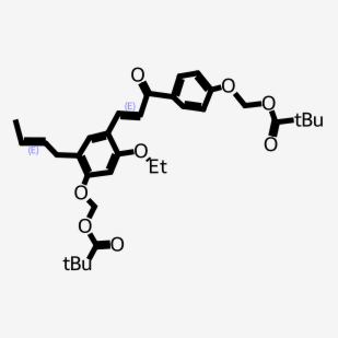 C/C=C/Cc1cc(/C=C/C(=O)c2ccc(OCOC(=O)C(C)(C)C)cc2)c(OCC)cc1OCOC(=O)C(C)(C)C